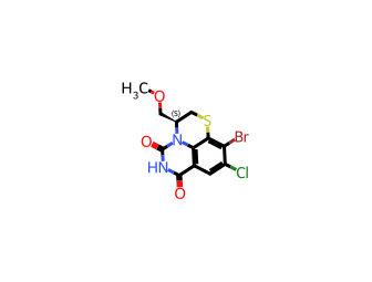 COC[C@H]1CSc2c(Br)c(Cl)cc3c(=O)[nH]c(=O)n1c23